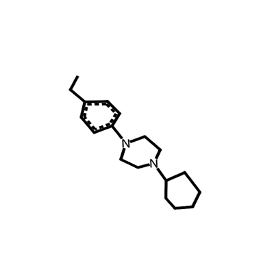 CCc1ccc(N2CCN(C3CCCCC3)CC2)cc1